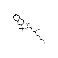 CCCCCC(O)CCC1Nc2cc3ccccc3nc2C(C)(C)O1